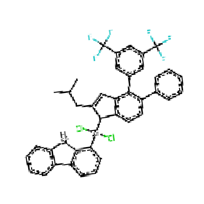 CC(C)CC1=Cc2c(ccc(-c3ccccc3)c2-c2cc(C(F)(F)F)cc(C(F)(F)F)c2)[CH]1[Zr]([Cl])([Cl])[c]1cccc2c1[SiH2]c1ccccc1-2